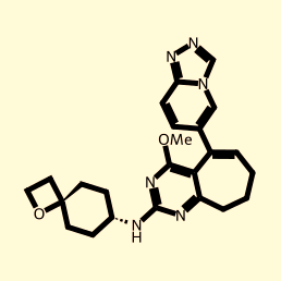 COc1nc(N[C@H]2CC[C@@]3(CCO3)CC2)nc2c1C(c1ccc3nncn3c1)=CCCC2